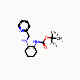 CC(C)(C)OC(=O)N[C@H]1CCCC[C@@H]1NCc1ccccn1